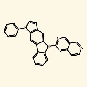 c1ccc(-n2ccc3cc4c(cc32)c2ccccc2n4-c2ncc3cnccc3n2)cc1